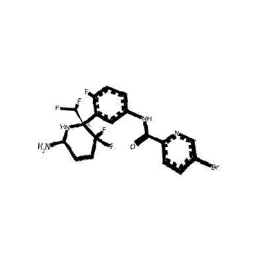 NC1CCC(F)(F)[C@](c2cc(NC(=O)c3ccc(Br)cn3)ccc2F)(C(F)F)N1